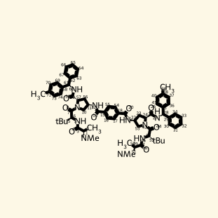 CN[C@@H](C)C(=O)N[C@H](C(=O)N1C[C@@H](NC(=O)c2ccc(C(=O)N[C@H]3C[C@@H](C(=O)N[C@@H](c4ccccc4)c4ccc(C)cc4)N(C(=O)[C@@H](NC(=O)[C@H](C)NC)C(C)(C)C)C3)cc2)C[C@H]1C(=O)N[C@@H](c1ccccc1)c1ccc(C)cc1)C(C)(C)C